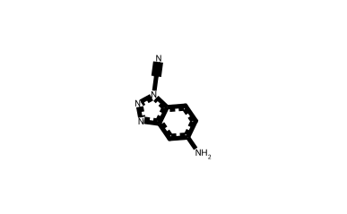 N#Cn1nnc2cc(N)ccc21